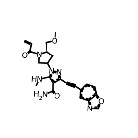 C=CC(=O)N1CC(n2nc(C#Cc3ccc4ocnc4c3)c(C(N)=O)c2NC)C[C@@H]1COC